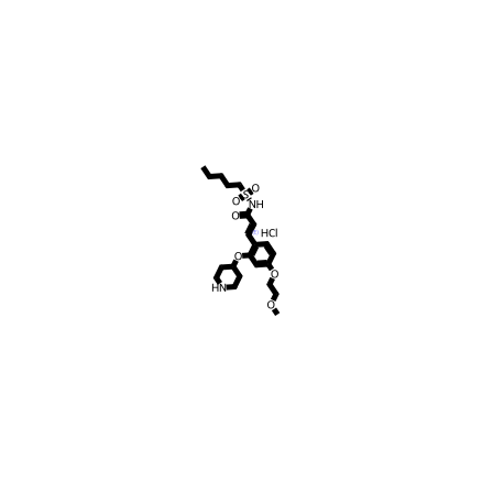 CCCCCS(=O)(=O)NC(=O)/C=C/c1ccc(OCCOC)cc1OC1CCNCC1.Cl